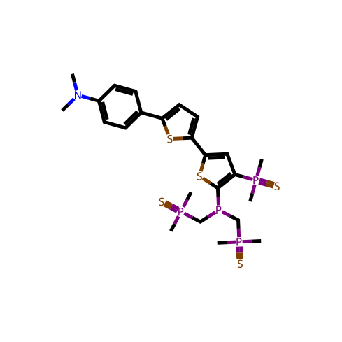 CN(C)c1ccc(-c2ccc(-c3cc(P(C)(C)=S)c(P(CP(C)(C)=S)CP(C)(C)=S)s3)s2)cc1